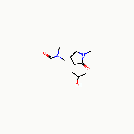 CC(C)O.CN(C)C=O.CN1CCCC1=O